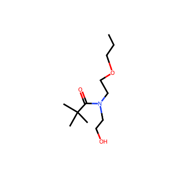 CCCOCCN(CCO)C(=O)C(C)(C)C